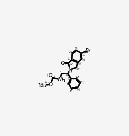 CC(C)(C)OC(=O)NC[C@H](c1ccccc1)N1Cc2cc(Br)ccc2C1=O